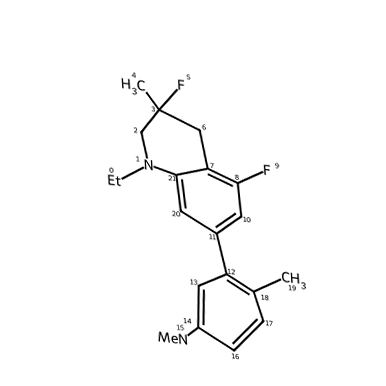 CCN1CC(C)(F)Cc2c(F)cc(-c3cc(NC)ccc3C)cc21